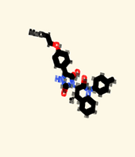 COCCOc1ccc(C2NC(=O)N([C@H](C(=O)Nc3ccc(C)cc3)[C@@H](C)c3ccccc3)C2=O)cc1